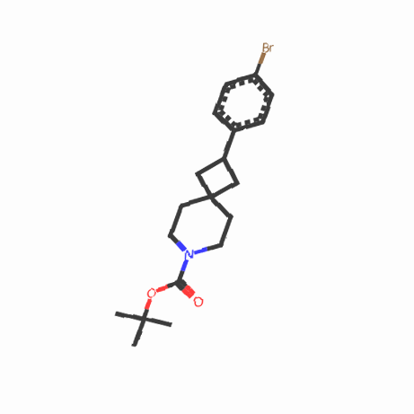 CC(C)(C)OC(=O)N1CCC2(CC1)CC(c1ccc(Br)cc1)C2